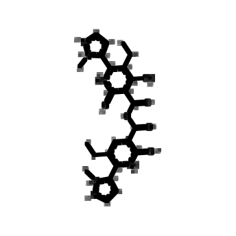 CCc1cc(C(=O)OC(=O)c2c(O)c(CC)c(-c3ccnn3C)[nH]c2=O)c(=O)[nH]c1-c1ccnn1C